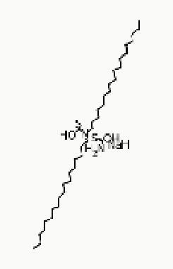 CCCCCCCCCCCCCCCCCCN(CCCCCCCCCCCCCCCCCC)C(O)=S.NC(O)=S.[NaH]